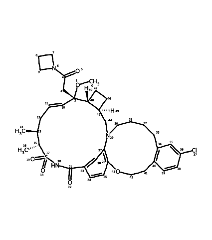 CO[C@@]1(CC(=O)N2CCC2)/C=C/C[C@H](C)[C@@H](C)S(=O)(=O)NC(=O)c2ccc3c(c2)N(CCCCc2cc(Cl)ccc2CCO3)C[C@@H]2CC[C@H]21